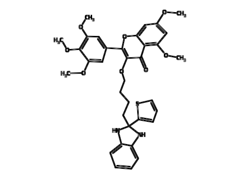 COc1cc(OC)c2c(=O)c(OCCCCC3(c4cccs4)Nc4ccccc4N3)c(-c3cc(OC)c(OC)c(OC)c3)oc2c1